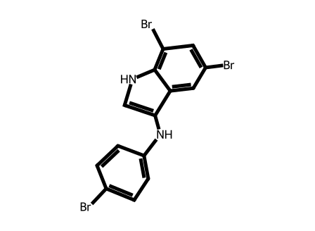 Brc1ccc(Nc2c[nH]c3c(Br)cc(Br)cc23)cc1